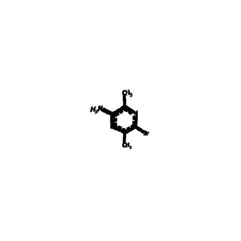 Cc1cc(N)c(C)nc1Br